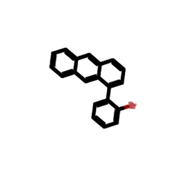 Brc1ccccc1-c1cccc2cc3ccccc3cc12